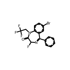 O=C1C(F)N=C(c2ccccc2)c2cc(Br)ccc2N1CC(F)(F)F